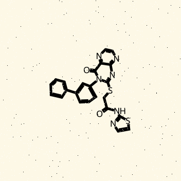 O=C(CSc1nc2nccnc2c(=O)n1-c1cccc(-c2ccccc2)c1)Nc1nccs1